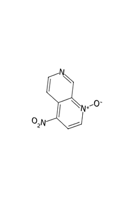 O=[N+]([O-])c1cc[n+]([O-])c2cnccc12